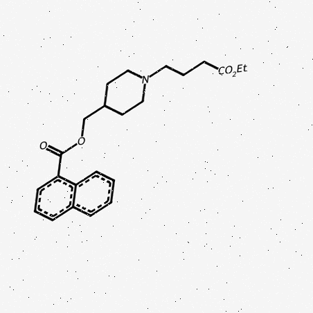 CCOC(=O)CCCN1CCC(COC(=O)c2cccc3ccccc23)CC1